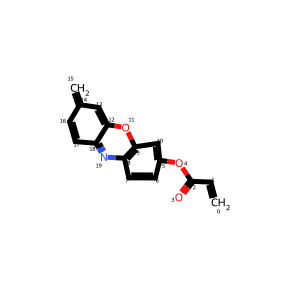 C=CC(=O)Oc1ccc2c(c1)Oc1cc(=C)ccc1=N2